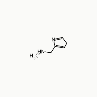 CNCC1=CCC=N1